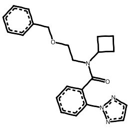 O=C(c1ccccc1-n1nccn1)N(CCOCc1ccccc1)C1CCC1